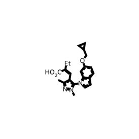 CCC(=Cc1c(C)nn(C)c1-n1ccc2ccc(OCC3CC3)cc21)C(=O)O